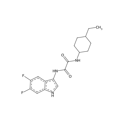 CCC1CCC(NC(=O)C(=O)Nc2c[nH]c3cc(F)c(F)cc23)CC1